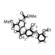 C=C(C(=O)N1CCN(C(=O)OC)CC1C(=O)OC)c1ccc(Sc2ccccc2OCC)c(C(F)(F)F)c1